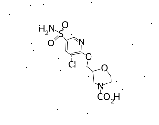 NS(=O)(=O)c1cnc(OCC2CN(C(=O)O)CCO2)c(Cl)c1